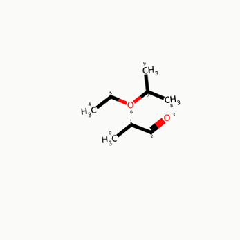 CCC=O.CCOC(C)C